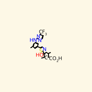 Cc1cc(Nc2nccc(C(F)(F)F)n2)cc(-c2cnc([C@]3(O)CC(C)C(C(=O)O)CC3C)s2)c1